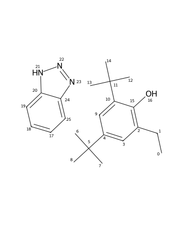 CCc1cc(C(C)(C)C)cc(C(C)(C)C)c1O.c1ccc2[nH]nnc2c1